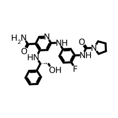 NC(=O)c1cnc(Nc2ccc(F)c(NC(=O)N3CCCC3)c2)cc1N[C@H](CO)c1ccccc1